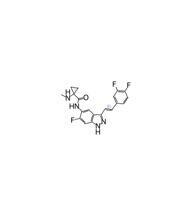 CNC1(C(=O)Nc2cc3c(/C=C/c4ccc(F)c(F)c4)n[nH]c3cc2F)CC1